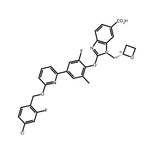 Cc1cc(-c2cccc(OCc3ccc(Cl)cc3F)n2)cc(F)c1Oc1nc2ccc(C(=O)O)cc2n1C[C@@H]1CCO1